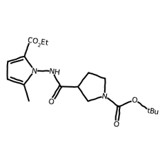 CCOC(=O)c1ccc(C)n1NC(=O)C1CCN(C(=O)OC(C)(C)C)C1